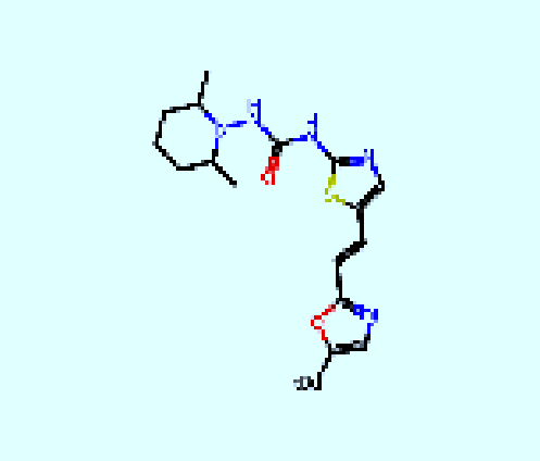 CC1CCCC(C)N1NC(=O)Nc1ncc(C=Cc2ncc(C(C)(C)C)o2)s1